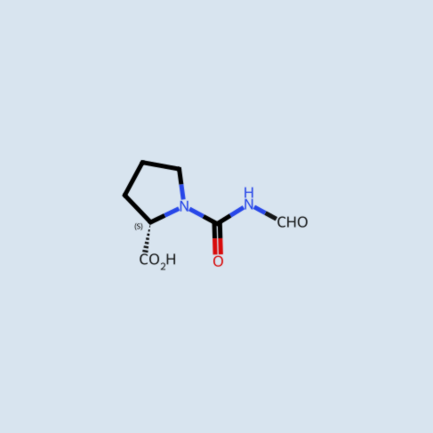 O=CNC(=O)N1CCC[C@H]1C(=O)O